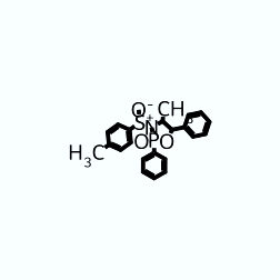 Cc1ccc([S+]([O-])N2C(C)C(c3ccccc3)OP2(=O)c2ccccc2)cc1